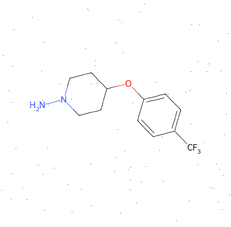 NN1CCC(Oc2ccc(C(F)(F)F)cc2)CC1